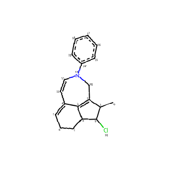 CC1C2=C3C(=CCCC3C1Cl)C=CN(c1ccccc1)C2